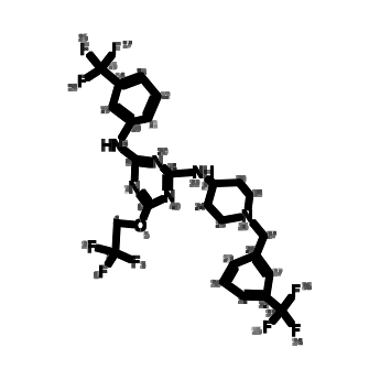 FC(F)(F)COc1nc(Nc2cccc(C(F)(F)F)c2)nc(NC2CCN(Cc3cccc(C(F)(F)F)c3)CC2)n1